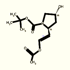 CC(=O)O/C=C/[C@@H]1C[C@@H](O)CN1C(=O)OC(C)(C)C